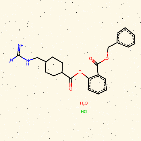 Cl.N=C(N)NCC1CCC(C(=O)Oc2ccccc2C(=O)OCc2ccccc2)CC1.O